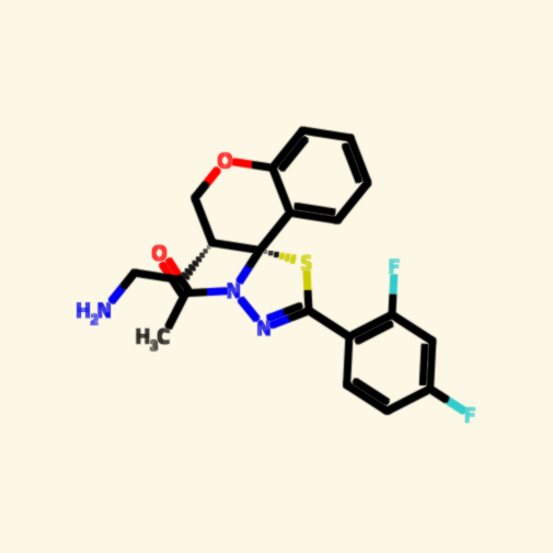 CC(=O)N1N=C(c2ccc(F)cc2F)S[C@]12c1ccccc1OC[C@H]2CCN